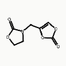 O=C1OCCN1Cc1coc(=O)o1